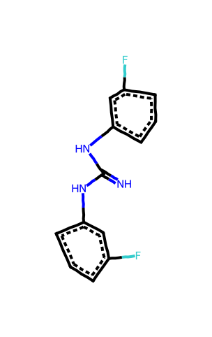 N=C(Nc1cccc(F)c1)Nc1cccc(F)c1